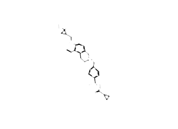 C=Cc1c(OCC2CC2(F)F)ccc2c1CCN(Cc1ccc([C@H](C)NC(=O)C3CC3)cc1)C2